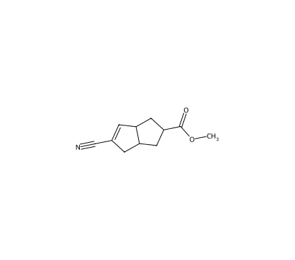 COC(=O)C1CC2C=C(C#N)CC2C1